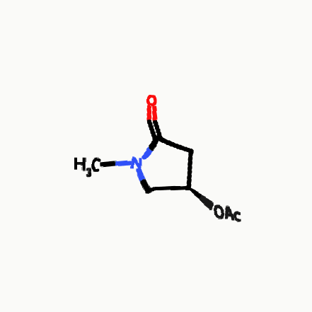 CC(=O)O[C@@H]1CC(=O)N(C)C1